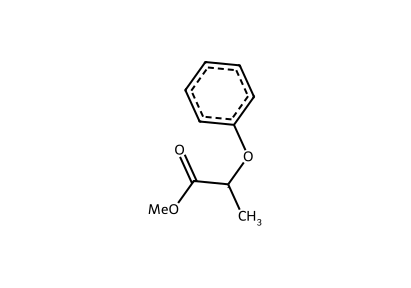 COC(=O)[C](C)Oc1ccccc1